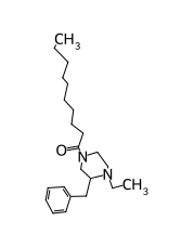 CCCCCCCCCC(=O)N1CCN(CC)C(Cc2ccccc2)C1